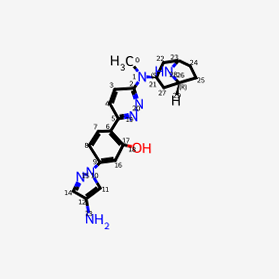 CN(c1ccc(-c2ccc(-n3cc(N)cn3)cc2O)nn1)[C@H]1CC2CC[C@H](C1)N2